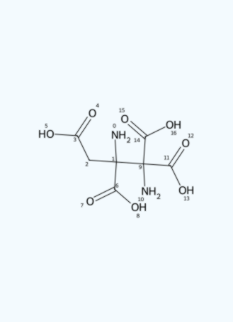 NC(CC(=O)O)(C(=O)O)C(N)(C(=O)O)C(=O)O